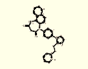 O=C1CC(=O)N(c2ccc(-n3ccnc3CCc3ccccn3)cc2)c2ccc3ccccc3c2N1